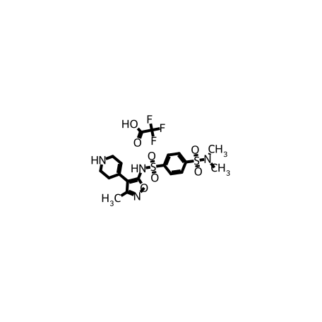 Cc1noc(NS(=O)(=O)c2ccc(S(=O)(=O)N(C)C)cc2)c1C1=CCNCC1.O=C(O)C(F)(F)F